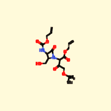 C=CCOC(=O)NC1C(=O)N(C(C(=O)CO[SiH2]C(C)(C)C)C(=O)OCC=C)C1CO